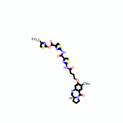 CCOC(=O)c1csc(OC(=O)c2csc(NC(=O)c3csc(NC(=O)CCCOc4cc5c(cc4OC)C(=O)N4CCC[C@H]4C=N5)n3)n2)n1